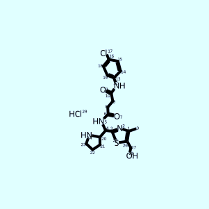 Cc1nc(C(NC(=O)CCC(=O)Nc2ccc(Cl)cc2)C2CCCN2)sc1CO.Cl